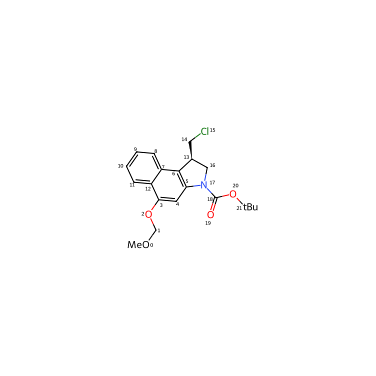 COCOc1cc2c(c3ccccc13)[C@@H](CCl)CN2C(=O)OC(C)(C)C